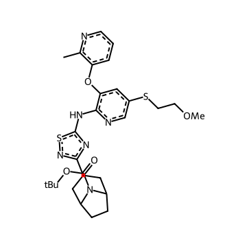 COCCSc1cnc(Nc2nc(C3CC4CCC(C3)N4C(=O)OC(C)(C)C)ns2)c(Oc2cccnc2C)c1